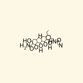 CCc1cc(CNC(=O)CN(C)C)c(O)c2c1C[C@H]1CC3CC(O)=C(C(N)=O)C(=O)C3C(O)C1C2=O